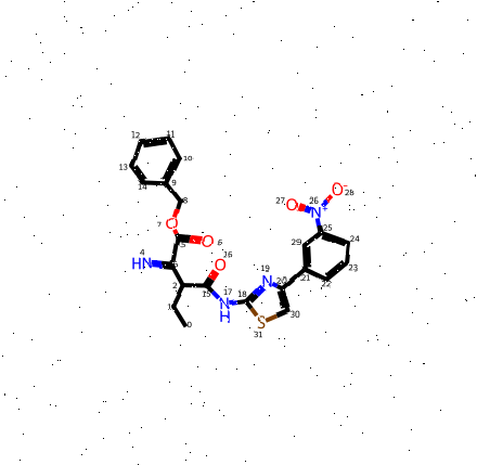 CCC(C(=N)C(=O)OCc1ccccc1)C(=O)Nc1nc(-c2cccc([N+](=O)[O-])c2)cs1